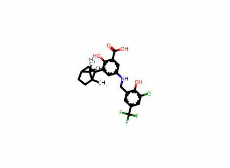 CC1(C)C2CCC1(C)C(c1cc(NCc3cc(C(F)(F)F)cc(Cl)c3O)cc(C(=O)O)c1O)C2